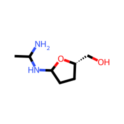 CC(N)NC1CC[C@@H](CO)O1